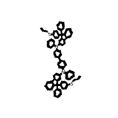 C=CCSc1ccc(C2(c3ccccc3)c3ccccc3-c3ccc(N(c4ccccc4)c4ccc(-c5ccc(N(c6ccccc6)c6ccc7c(c6)C(c6ccccc6)(c6ccc(SCC=C)cc6)c6ccccc6-7)cc5)cc4)cc32)cc1